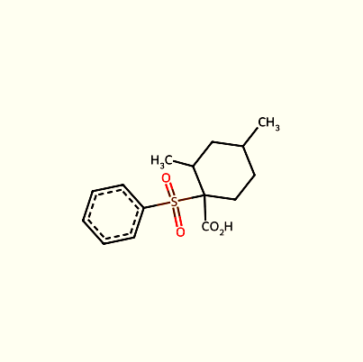 CC1CCC(C(=O)O)(S(=O)(=O)c2ccccc2)C(C)C1